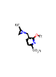 CCOc1nc(C(=O)O)ccc1CN1CC1C#N